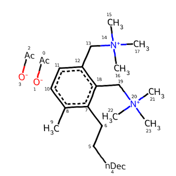 CC(=O)[O-].CC(=O)[O-].CCCCCCCCCCCCc1c(C)ccc(C[N+](C)(C)C)c1C[N+](C)(C)C